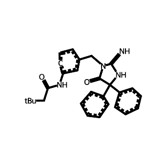 CC(C)(C)CC(=O)Nc1cccc(CN2C(=N)NC(c3ccccc3)(c3ccccc3)C2=O)c1